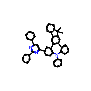 CC1(C)c2ccccc2-c2cc3c(cc21)-c1ccccc1N(c1ccccc1)c1ccc(-c2cc(-c4ccccc4)nc(-c4ccccc4)n2)cc1-3